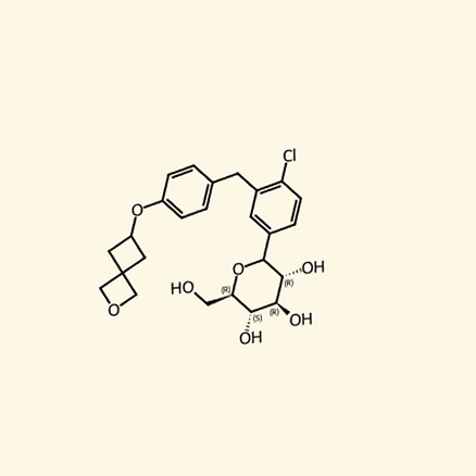 OC[C@H]1OC(c2ccc(Cl)c(Cc3ccc(OC4CC5(COC5)C4)cc3)c2)[C@H](O)[C@@H](O)[C@@H]1O